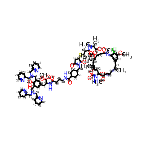 COC(=O)C(Cc1cc(CN(Cc2ccccn2)Cc2ccccn2)c(O)c(CN(Cc2ccccn2)Cc2ccccn2)c1)NC(=O)CCCNC(=O)C1CCC(CN2C(=O)CC(SCCC(=O)N(C)[C@@H](C)C(=O)O[C@H]3CC(=O)N(C)c4cc(cc(OC)c4Cl)C/C(C)=C/C=C/[C@@H](OC)[C@@]4(O)C[C@H](OC(=O)N4)[C@@H](C)C[C@@]3(C)OC)C2=O)CC1